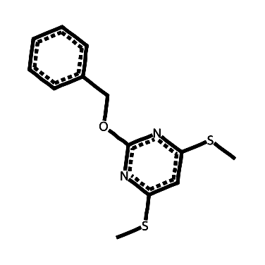 CSc1cc(SC)nc(OCc2ccccc2)n1